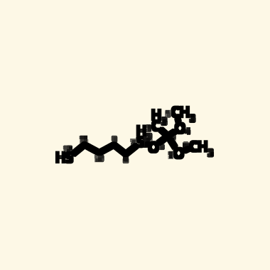 COC(C)(OC)O[SiH2]CCCCS